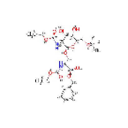 CC(C)(C)[Si](C)(C)OCC1OC(OC[C@@H](NC(=O)OCC(Cl)(Cl)Cl)C(=O)OCc2ccccc2)C(NC(=O)OCC(Cl)(Cl)Cl)C(O)C1O